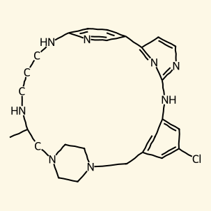 CC1CN2CCN(CC2)Cc2cc(Cl)cc(c2)Nc2nccc(n2)-c2ccc(nc2)NCCCN1